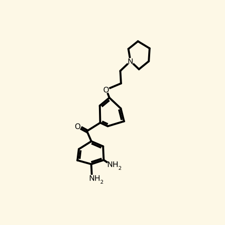 Nc1ccc(C(=O)c2cccc(OCCN3CCCCC3)c2)cc1N